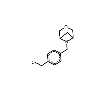 ClCc1ccc(CN2C3COCC2C3)cc1